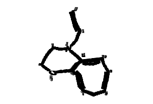 C=CN1CCOc2ccccc21